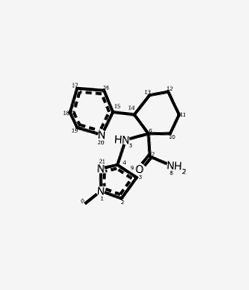 Cn1ccc(NC2(C(N)=O)CCCCC2c2ccccn2)n1